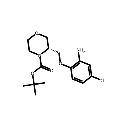 CC(C)(C)OC(=O)N1CCOC[C@@H]1COc1ccc(Cl)cc1N